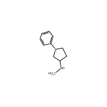 O=C(O)NC1CCN(c2ccccc2)C1